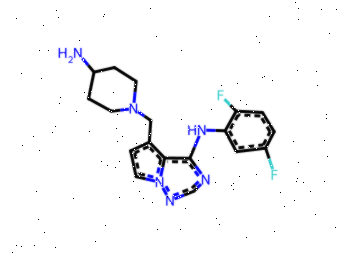 NC1CCN(Cc2ccn3ncnc(Nc4cc(F)ccc4F)c23)CC1